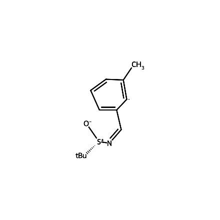 Cc1[c]c(/C=N\[S@@+]([O-])C(C)(C)C)ccc1